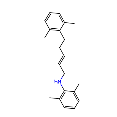 Cc1cccc(C)c1CCC=CCNc1c(C)cccc1C